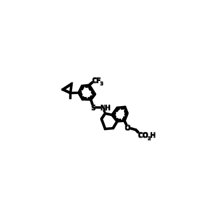 CC1(c2cc(SN[C@@H]3CCCc4c(OCC(=O)O)cccc43)cc(C(F)(F)F)c2)CC1